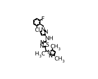 Cc1cc(C)n(C(C)c2nnc(Nc3ccn(Cc4c(F)cccc4Cl)n3)s2)n1